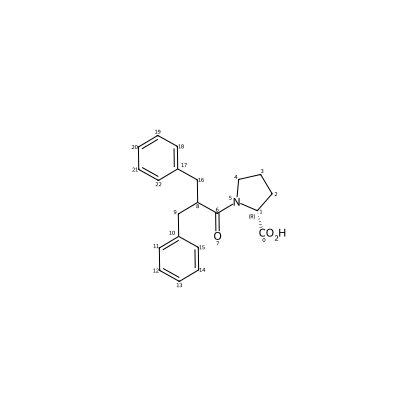 O=C(O)[C@H]1CCCN1C(=O)C(Cc1ccccc1)Cc1ccccc1